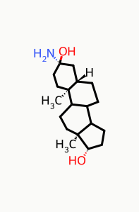 C[C@]12CCC3C(CC[C@H]4C[C@](N)(O)CC[C@]34C)C1CC[C@@H]2O